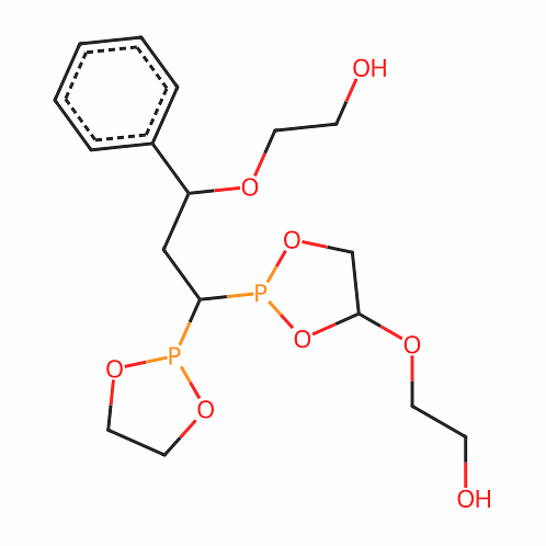 OCCOC1COP(C(CC(OCCO)c2ccccc2)P2OCCO2)O1